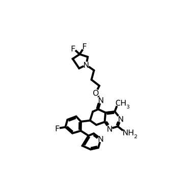 Cc1nc(N)nc2c1/C(=N/OCCCN1CCC(F)(F)C1)CC(c1ccc(F)cc1-c1cccnc1)C2